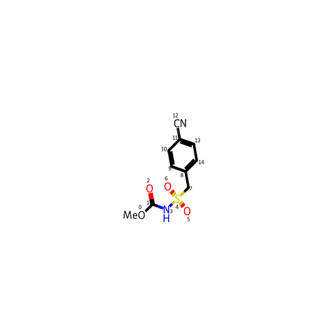 COC(=O)NS(=O)(=O)Cc1ccc(C#N)cc1